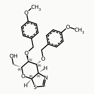 COc1ccc(CO[C@@H]2[C@H]3N=[C]S[C@H]3O[C@H](CO)[C@H]2OCc2ccc(OC)cc2)cc1